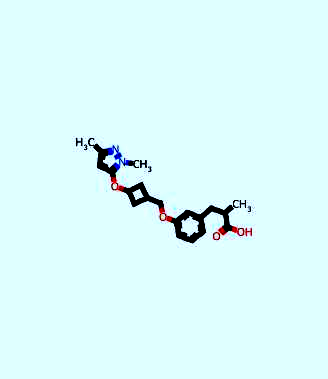 Cc1cc(OC2CC(COc3cccc(CC(C)C(=O)O)c3)C2)n(C)n1